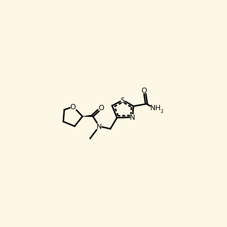 CN(Cc1csc(C(N)=O)n1)C(=O)[C@H]1CCCO1